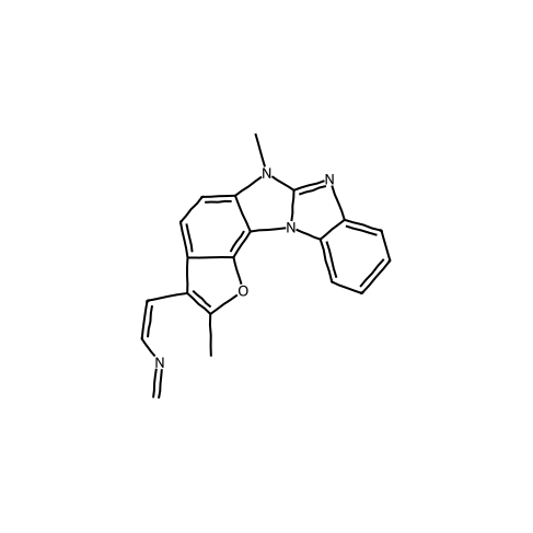 C=N/C=C\c1c(C)oc2c1ccc1c2n2c3ccccc3nc2n1C